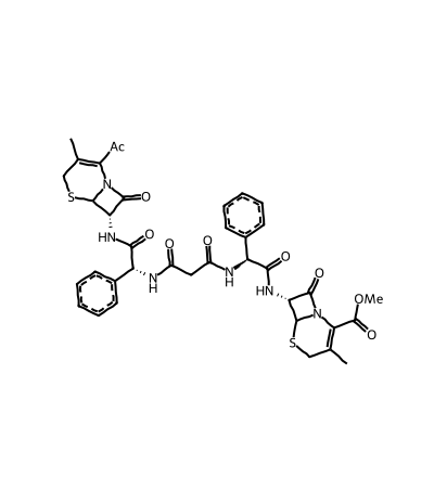 COC(=O)C1=C(C)CSC2[C@H](NC(=O)[C@@H](NC(=O)CC(=O)N[C@@H](C(=O)N[C@H]3C(=O)N4C(C(C)=O)=C(C)CSC34)c3ccccc3)c3ccccc3)C(=O)N12